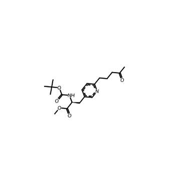 COC(=O)[C@H](Cc1ccc(CCCC(C)=O)nc1)NC(=O)OC(C)(C)C